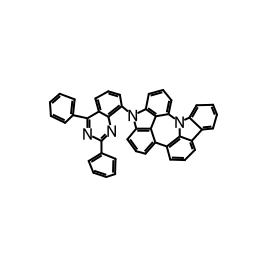 c1ccc(-c2nc(-c3ccccc3)c3cccc(-n4c5cccc6c7cccc8c9ccccc9n(c9cccc4c9c65)c78)c3n2)cc1